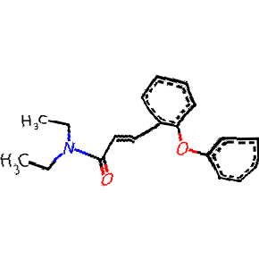 CCN(CC)C(=O)C=Cc1ccccc1Oc1ccccc1